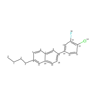 CCCCc1ccc2cc(-c3ccc(Cl)c(F)c3)ccc2c1